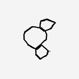 [CH]1CCCC2=C1CC1=C(CCCC2)CCCC1